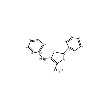 CCOC(=O)c1cc(-c2ccccc2)sc1Nc1ccccc1